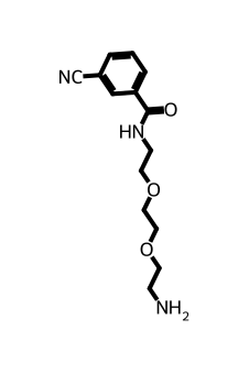 N#Cc1cccc(C(=O)NCCOCCOCCN)c1